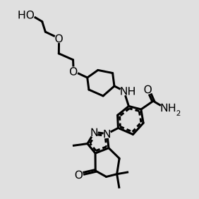 Cc1nn(-c2ccc(C(N)=O)c(NC3CCC(OCCOCCO)CC3)c2)c2c1C(=O)CC(C)(C)C2